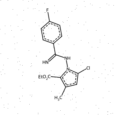 CCOC(=O)c1c(C)cc(Cl)n1NC(=N)c1ccc(F)cc1